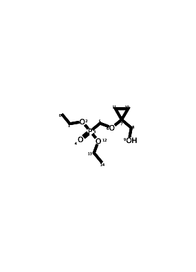 CCOP(=O)(COC1(CO)CC1)OCC